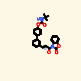 CC(C)(C)NC(=O)Oc1ccc(-c2cccc(/C=C/C(=O)n3c(=O)oc4ccccc43)c2)cc1